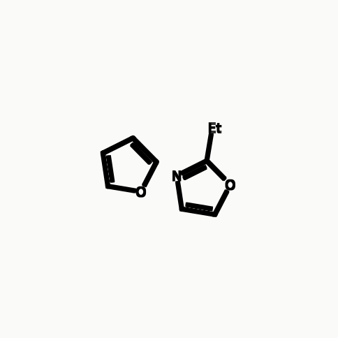 CCc1ncco1.c1ccoc1